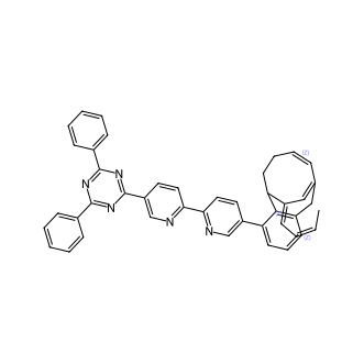 C/C=C\C=C1C=C2/C=C\CCC/1c1c(cccc1-c1ccc(-c3ccc(-c4nc(-c5ccccc5)nc(-c5ccccc5)n4)cn3)nc1)C2